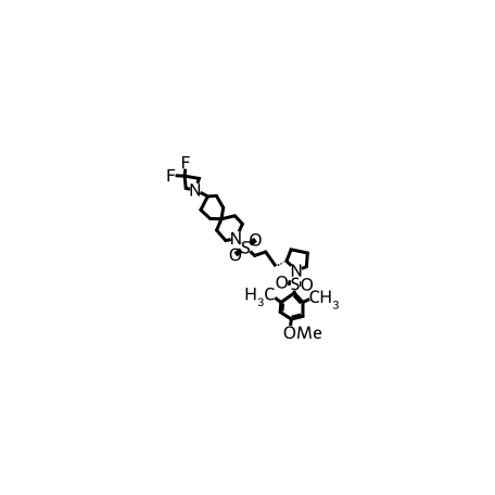 COc1cc(C)c(S(=O)(=O)N2CCC[C@H]2CCCS(=O)(=O)N2CCC3(CCC(N4CC(F)(F)C4)CC3)CC2)c(C)c1